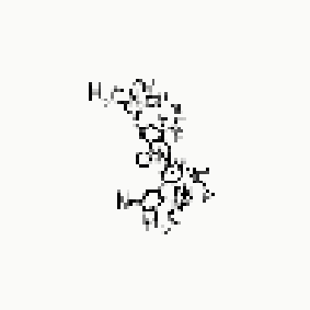 C[C@@H]1CN(Cc2cc3c(c(C(F)(F)F)c2)CN(c2cc(-c4cc(C#N)ccc4-c4nncn4C)cc(NCCC4CC4)n2)C3=O)C[C@H](C)N1C